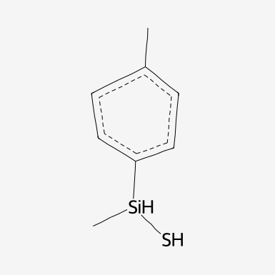 Cc1ccc([SiH](C)S)cc1